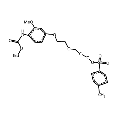 COc1cc(OCCOCCCOS(=O)(=O)c2ccc(C)cc2)ccc1NC(=O)OC(C)(C)C